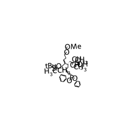 COCOCC/C=C1\[C@H](CC(C)(C)[Si](C)(C)O)C/C(=C\CP(Oc2ccccc2)Oc2ccccc2)C[C@H]1O[Si](C)(C)C(C)(C)C